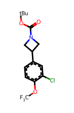 CC(C)(C)OC(=O)N1CC(c2ccc(OC(F)(F)F)c(Cl)c2)C1